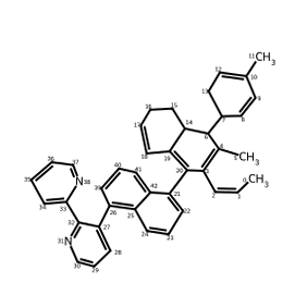 C/C=C\C1=C(C)C(C2C=CC(C)=CC2)C2CCC=CC2=C1c1cccc2c(-c3cccnc3-c3ccccn3)cccc12